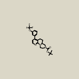 CC(C)(C)OC(=O)N1CCN2c3nccc(-c4cccc(OC(F)(F)F)c4)c3CCC2C1